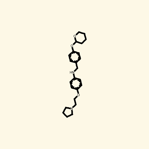 c1cc(OC2CCCCO2)ccc1CNc1ccc(OCCN2CCCC2)cc1